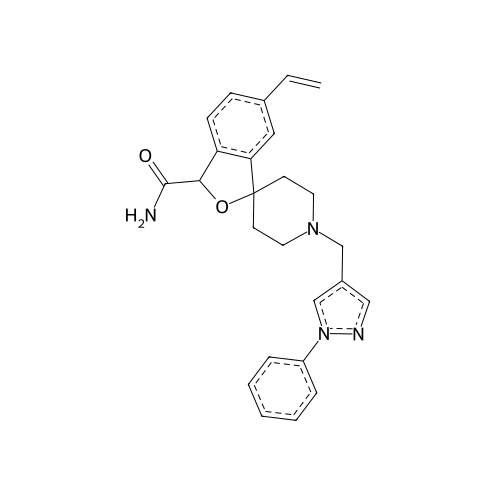 C=Cc1ccc2c(c1)C1(CCN(Cc3cnn(-c4ccccc4)c3)CC1)OC2C(N)=O